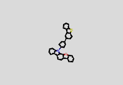 c1ccc2c(c1)oc1c2ccc2c3ccccc3n(-c3ccc(-c4ccc5sc6ccccc6c5c4)cc3)c21